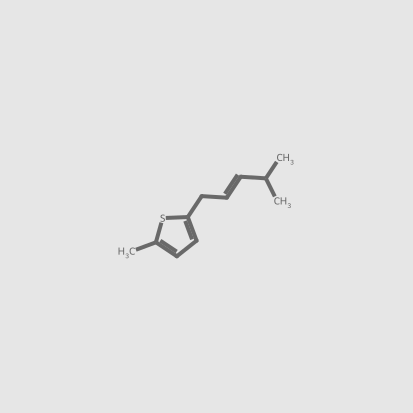 Cc1ccc(C/C=C/C(C)C)s1